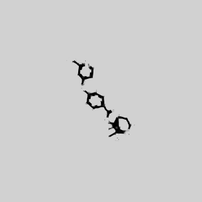 C[C@H]1[C@H](NC(=O)c2ccc(Sc3ccnc(Cl)c3)cc2)C2CCN1CC2